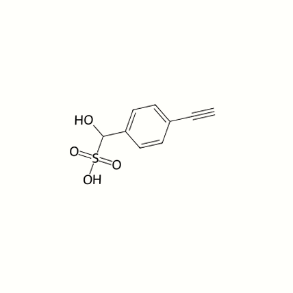 C#Cc1ccc(C(O)S(=O)(=O)O)cc1